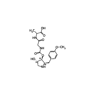 COc1ccc(C[C@H]2NC[C@H](O)[C@H]2OC(=O)NCC(=O)NC(C)C(=O)O)cc1